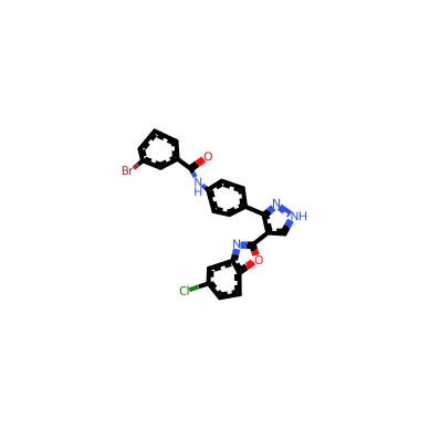 O=C(Nc1ccc(-c2n[nH]cc2-c2nc3cc(Cl)ccc3o2)cc1)c1cccc(Br)c1